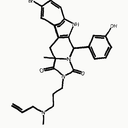 C=CCN(C)CCCN1C(=O)N2C(c3cccc(O)c3)c3[nH]c4ccc(Br)cc4c3CC2(C)C1=O